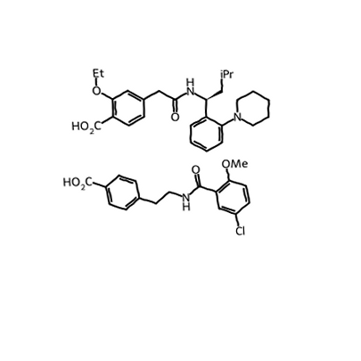 CCOc1cc(CC(=O)N[C@@H](CC(C)C)c2ccccc2N2CCCCC2)ccc1C(=O)O.COc1ccc(Cl)cc1C(=O)NCCc1ccc(C(=O)O)cc1